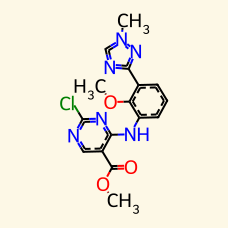 COC(=O)c1cnc(Cl)nc1Nc1cccc(-c2ncn(C)n2)c1OC